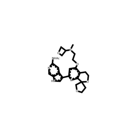 CC(=O)Nc1cc2c(-c3cc(OCCN(C)C4COC4)c4c(n3)C3(CCOC3)OCC4)c[nH]c2cn1